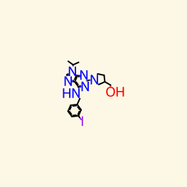 CC(C)n1cnc2c(NCc3cccc(I)c3)nc(N3CCC(CO)C3)nc21